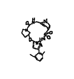 Cc1cccc(C)c1-c1cc2nc(n1)NS(=O)(=O)c1cc(n(C)c1)CNC(=O)N1CCCC(C1)O2